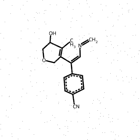 C=N/C=C(\C1=C(C)C(O)COC1)c1ccc(C#N)cc1